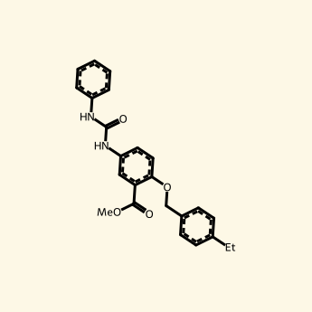 CCc1ccc(COc2ccc(NC(=O)Nc3ccccc3)cc2C(=O)OC)cc1